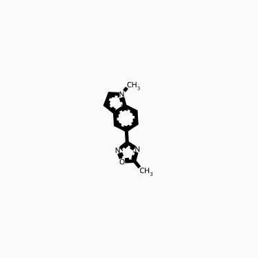 Cc1nc(-c2ccc3c(ccn3C)c2)no1